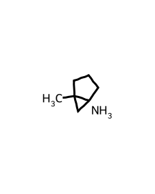 CC12CCCC1C2.N